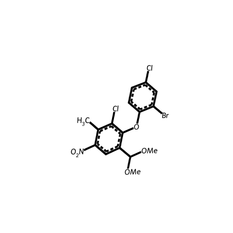 COC(OC)c1cc([N+](=O)[O-])c(C)c(Cl)c1Oc1ccc(Cl)cc1Br